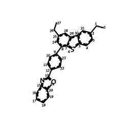 CCc1ccc2sc3c(-c4ccc(-c5nc6ccccc6o5)cc4)cc(CC)cc3c2c1